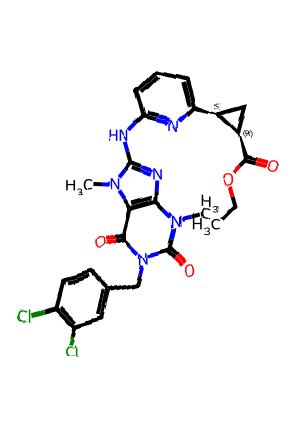 CCOC(=O)[C@@H]1C[C@@H]1c1cccc(Nc2nc3c(c(=O)n(Cc4ccc(Cl)c(Cl)c4)c(=O)n3C)n2C)n1